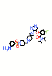 CC(C)N(C(=O)c1cc(F)ccc1Oc1cncnc1N1CC2(CCN(CC3CCN(S(=O)(=O)c4cccc(N)c4)CC3)CC2)C1)C(C)C